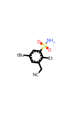 CCc1c(CC#N)cc(C(C)(C)C)cc1S(N)(=O)=O